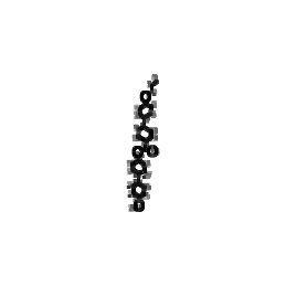 C=CCOc1ccc(-c2ccc(C(=O)Oc3ccc(-c4ccc(OC)cc4)cc3)cc2)cc1